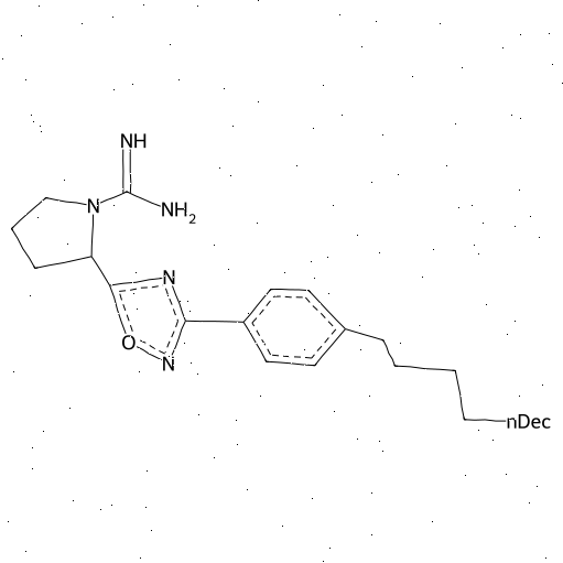 CCCCCCCCCCCCCCc1ccc(-c2noc(C3CCCN3C(=N)N)n2)cc1